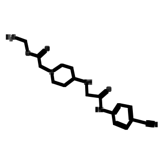 CCOC(=O)CN1CCC(NCC(=O)Nc2ccc(C#N)cc2)CC1